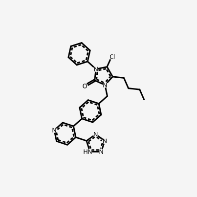 CCCCc1c(Cl)n(-c2ccccc2)c(=O)n1Cc1ccc(-c2cnccc2-c2nnn[nH]2)cc1